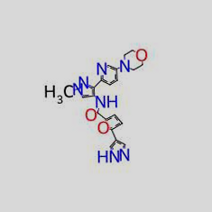 Cn1cc(NC(=O)c2ccc(-c3cn[nH]c3)o2)c(-c2ccc(N3CCOCC3)cn2)n1